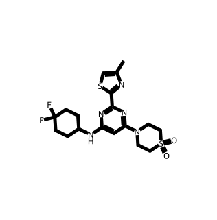 Cc1csc(-c2nc(NC3CCC(F)(F)CC3)cc(N3CCS(=O)(=O)CC3)n2)n1